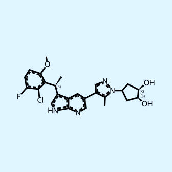 COc1ccc(F)c(Cl)c1[C@@H](C)c1c[nH]c2ncc(-c3cnn(C4C[C@@H](O)[C@@H](O)C4)c3C)cc12